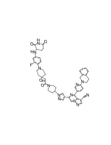 N#Cc1cnn2cc(-c3cnn(C4CCN(C(=O)CC5(O)CCN(c6ccc(NC7CCC(=O)NC7=O)cc6F)CC5)CC4)c3)nc(-c3ccc(N4CCc5ccccc5C4)nc3)c12